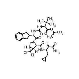 C=C(C)OC(=O)[C@@H](NC(=O)N[C@H](C(=O)N1C[C@H]2[C@@H]([C@H]1C(=O)NC(CC1CC1)C(=O)C(N)=O)C2(Cl)Cl)C1Cc2ccccc2C1)C(C)(C)C